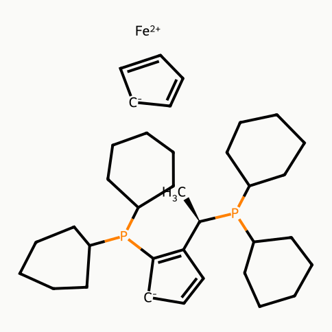 C[C@H](c1cc[cH-]c1P(C1CCCCC1)C1CCCCC1)P(C1CCCCC1)C1CCCCC1.[Fe+2].c1cc[cH-]c1